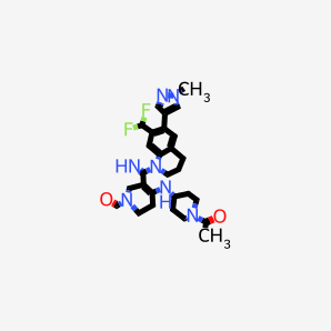 CC(=O)N1CCC(NC2=C(C(=N)N3CCCc4cc(-c5cnn(C)c5)c(C(F)F)cc43)CN(C=O)CC2)CC1